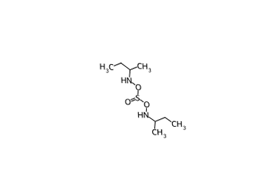 CCC(C)NOS(=O)ONC(C)CC